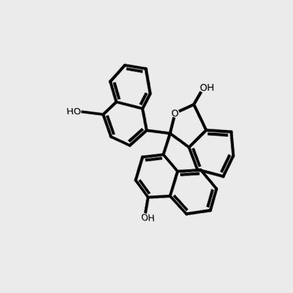 Oc1ccc(C2(c3ccc(O)c4ccccc34)OC(O)c3ccccc32)c2ccccc12